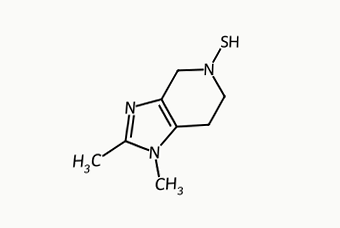 Cc1nc2c(n1C)CCN(S)C2